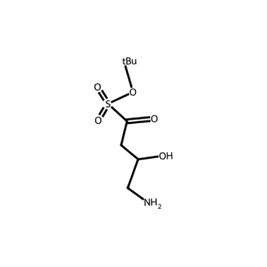 CC(C)(C)OS(=O)(=O)C(=O)CC(O)CN